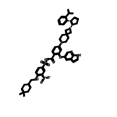 CC(C)c1ccccc1[C@@H]1CCC[C@@H]1N1CC2(CCN(c3ccc(C(=O)NS(=O)(=O)c4ccc(NCC5CCC(C)(C)CC5)c([N+](=O)[O-])c4)c(Oc4cnc5[nH]ccc5c4)c3)CC2)C1